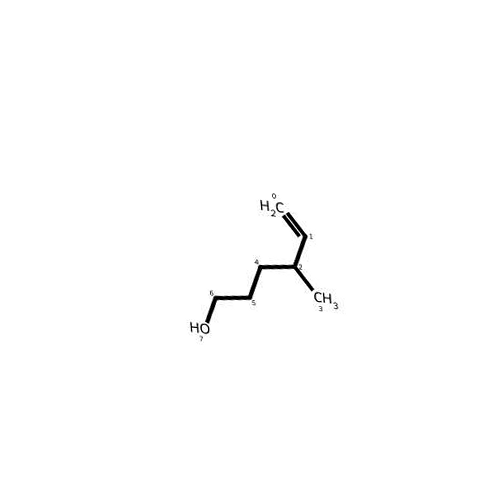 C=CC(C)CCCO